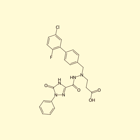 O=C(O)CCN(Cc1ccc(-c2cc(Cl)ccc2F)cc1)NC(=O)c1nn(-c2ccccc2)c(=O)[nH]1